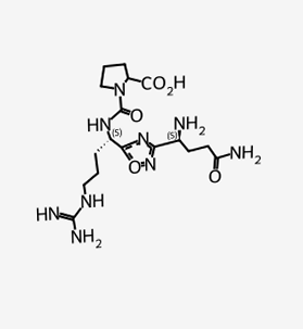 N=C(N)NCCC[C@H](NC(=O)N1CCCC1C(=O)O)c1nc([C@@H](N)CCC(N)=O)no1